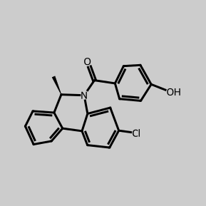 C[C@@H]1c2ccccc2-c2ccc(Cl)cc2N1C(=O)c1ccc(O)cc1